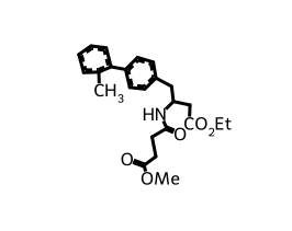 CCOC(=O)CC(Cc1ccc(-c2ccccc2C)cc1)NC(=O)CCC(=O)OC